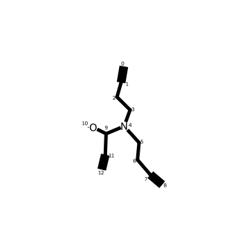 C#CCCN(CCC#C)C([O])C#C